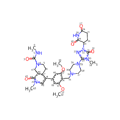 CNC(=O)N1CCc2c(-c3cc(OC)c(CN4CCN(c5nn(C6CCC(=O)NC6=O)c(=O)n5C)CC4)c(OC)c3)cn(C)c(=O)c2C1